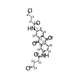 O=C(CCCCl)Nc1ccc2c(c1)C(=O)c1cc(NC(=O)CCCCl)ccc1C2=O